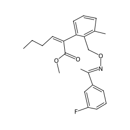 CCC/C=C(\C(=O)OC)c1cccc(C)c1CO/N=C(\C)c1cccc(F)c1